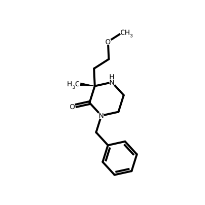 COCC[C@]1(C)NCCN(Cc2ccccc2)C1=O